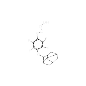 OOOSc1c(F)c(F)c(OC2C3CC4CC(C3)CC2C4)c(F)c1F